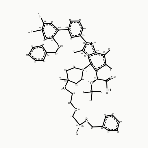 Cc1c([C@H](OC(C)(C)C)C(=O)O)c(N2CCC(C)(OCCOC[C@@H](C)OCc3ccccc3)CC2)n2c(C)c(-c3cccc(-c4cc(F)c(F)cc4OCc4ccccc4)c3)nc2c1C